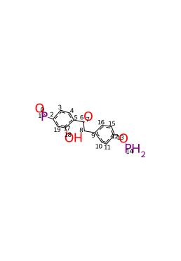 O=Pc1ccc(C(=O)Cc2ccc(OP)cc2)c(O)c1